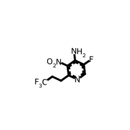 Nc1c(F)cnc(CCC(F)(F)F)c1[N+](=O)[O-]